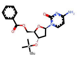 CC(C)(C)[Si](C)(C)O[C@H]1C[C@H](n2ccc(N)nc2=O)O[C@@H]1COC(=O)c1ccccc1